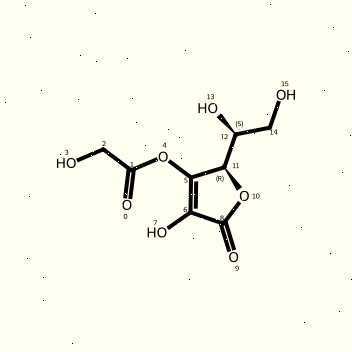 O=C(CO)OC1=C(O)C(=O)O[C@@H]1[C@@H](O)CO